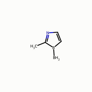 BB1C=CN=C1C